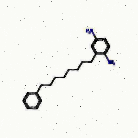 Nc1ccc(N)c(CCCCCCCCc2ccccc2)c1